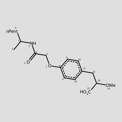 CCCCCC(C)NC(=O)COc1ccc(CC(OC)C(=O)O)cc1